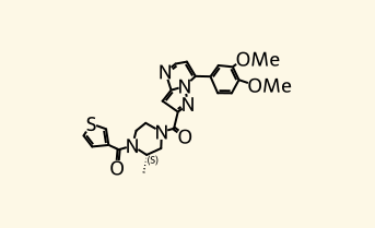 COc1ccc(-c2ccnc3cc(C(=O)N4CCN(C(=O)c5ccsc5)[C@@H](C)C4)nn23)cc1OC